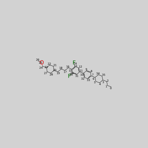 CCCC1CCC(c2ccc(-c3cc(F)c(CCCCC4CCC(COC)CC4)c(F)c3)cc2)CC1